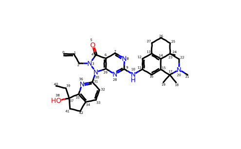 C=CCn1c(=O)c2cnc(Nc3cc4c5c(c3)C(C)(C)N(C)CC5(C)CCC4)nc2n1-c1ccc2c(n1)C(O)(CC)CC2